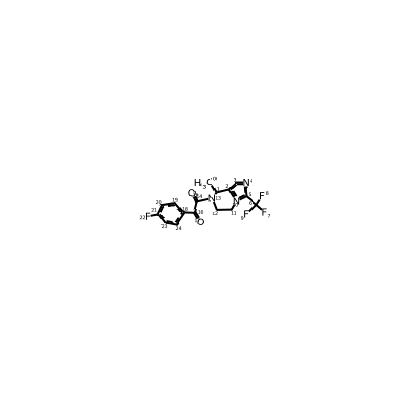 CC1c2cnc(C(F)(F)F)n2CCN1C(=O)C(=O)c1ccc(F)cc1